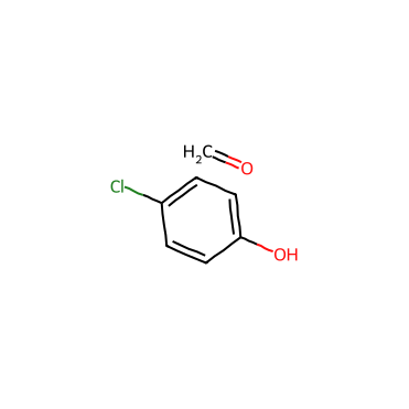 C=O.Oc1ccc(Cl)cc1